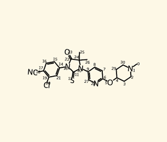 CN1CCC(Oc2ccc(N3C(=S)N(c4ccc(C#N)c(Cl)c4)C(=O)C3(C)C)cn2)CC1